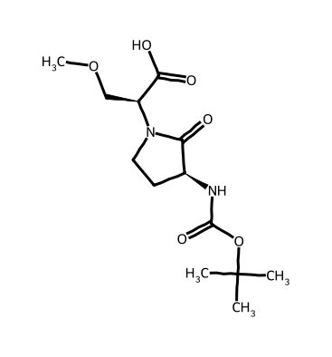 COC[C@@H](C(=O)O)N1CC[C@H](NC(=O)OC(C)(C)C)C1=O